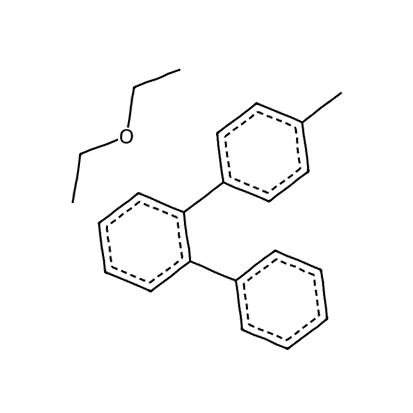 CCOCC.Cc1ccc(-c2ccccc2-c2ccccc2)cc1